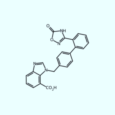 O=C(O)c1cccc2ncn(Cc3ccc(-c4ccccc4-c4noc(=O)[nH]4)cc3)c12